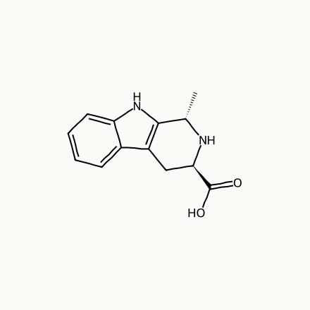 C[C@@H]1N[C@@H](C(=O)O)Cc2c1[nH]c1ccccc21